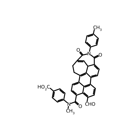 Cc1ccc(N2C(=O)C3=CC4C(=CC=c5c4c(c4ccc(C(=O)N(C)c6ccc(C(=O)O)cc6)c6c(C=O)ccc5c46)CC3)C2=O)cc1